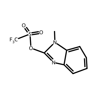 Cn1c(OS(=O)(=O)C(F)(F)F)nc2ccccc21